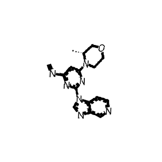 C=Nc1cc(N2CCOC[C@H]2C)nc(-n2cnc3cnccc32)n1